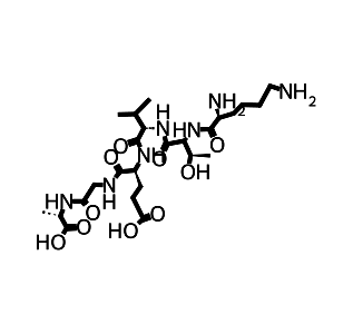 CC(C)[C@H](NC(=O)[C@@H](NC(=O)[C@@H](N)CCCCN)[C@@H](C)O)C(=O)N[C@@H](CCC(=O)O)C(=O)NCC(=O)N[C@@H](C)C(=O)O